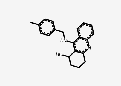 Cc1ccc(CNc2c3c(nc4ccccc24)CCCC3O)cc1